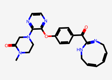 CN1CCN(c2nccnc2Oc2ccc(C(=O)/C3=N/C/C=C\C=C/CN3)cc2)CC1=O